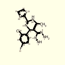 CC1=C(/C(N=N)=N/N)C(c2ccc(F)cc2Cl)N=C(c2nccs2)N1